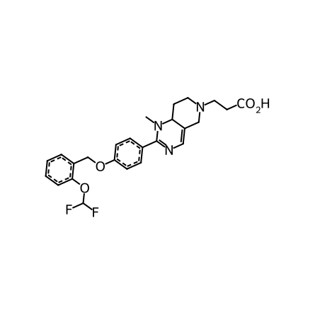 CN1C(c2ccc(OCc3ccccc3OC(F)F)cc2)=NC=C2CN(CCC(=O)O)CCC21